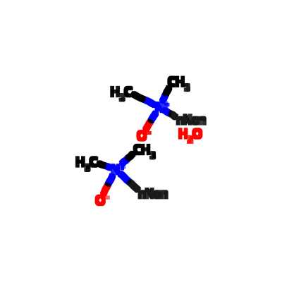 CCCCCCCCC[N+](C)(C)[O-].CCCCCCCCC[N+](C)(C)[O-].O